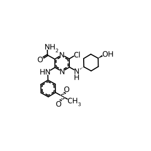 CS(=O)(=O)c1cccc(Nc2nc(N[C@H]3CC[C@H](O)CC3)c(Cl)nc2C(N)=O)c1